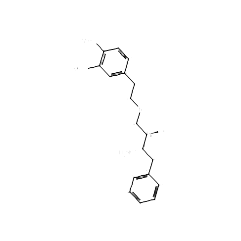 COc1ccc(CCNC[C@@H](O)[C@@H](N)Cc2ccccc2)cc1OC